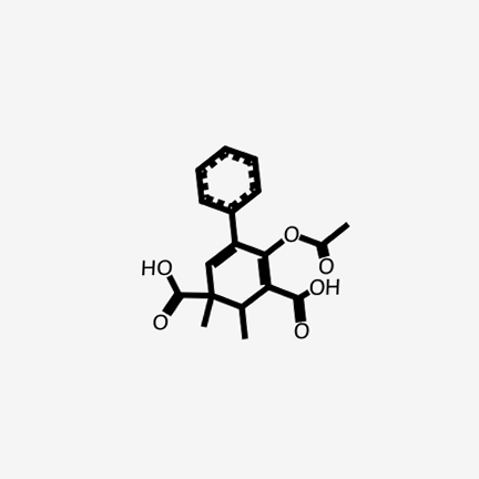 CC(=O)OC1=C(C(=O)O)C(C)C(C)(C(=O)O)C=C1c1ccccc1